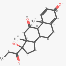 CCC(=O)C1(O)CCC2C3CCC4=CC(=O)C=CC4(C)C3C(=O)CC21C